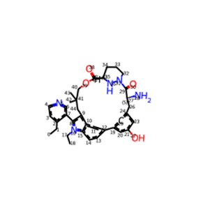 CCc1ccncc1-c1c2c3cc(ccc3n1CC)-c1cc(O)cc(c1)C[C@H](N)C(=O)N1CCC[C@H](N1)C(=O)OCC(C)(C)C2